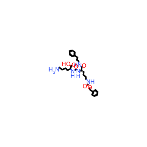 NCCCCC(NC(=O)N[C@H](CCCCNC(=O)OCc1ccccc1)C(=O)NCCCc1ccccc1)C(=O)O